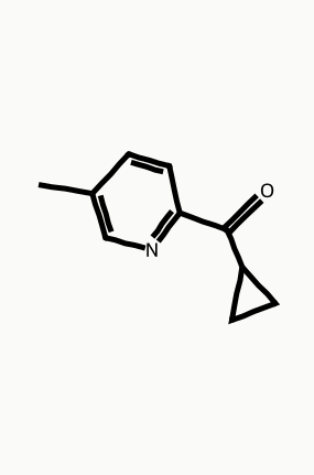 Cc1ccc(C(=O)C2CC2)nc1